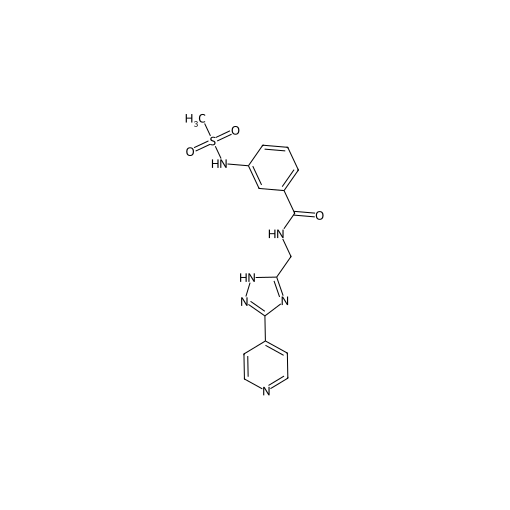 CS(=O)(=O)Nc1cccc(C(=O)NCc2nc(-c3ccncc3)n[nH]2)c1